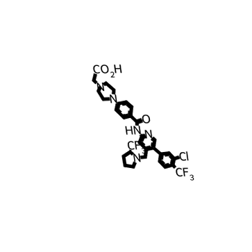 O=C(O)CN1CCN(c2ccc(C(=O)Nc3cc(CN4CCC[C@H]4C(F)(F)F)c(-c4ccc(C(F)(F)F)c(Cl)c4)cn3)cc2)CC1